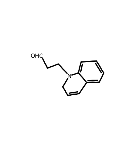 O=CCCN1CC=Cc2ccccc21